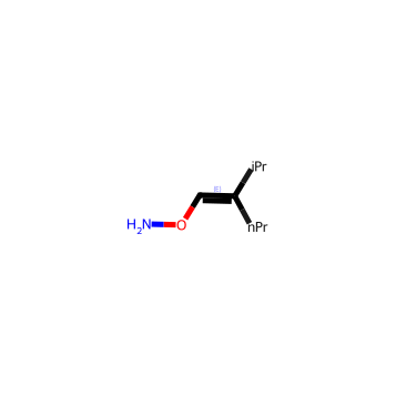 CCC/C(=C\ON)C(C)C